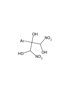 CC(=O)C(O)(C(O)[N+](=O)[O-])C(O)[N+](=O)[O-]